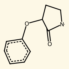 O=C1[N]CCC1Oc1ccccc1